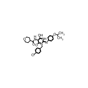 CC(C)Oc1ccc(/N=c2\[nH]c(O)c(NC(=O)C3CCOCC3)c(=O)n2Cc2ccc(Cl)cc2)cc1